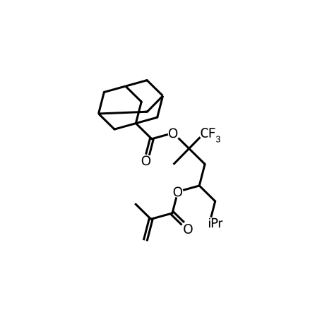 C=C(C)C(=O)OC(CC(C)C)CC(C)(OC(=O)C12CC3CC(CC(C3)C1)C2)C(F)(F)F